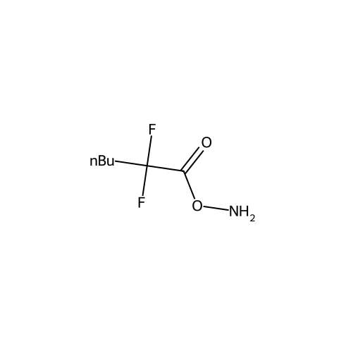 CCCCC(F)(F)C(=O)ON